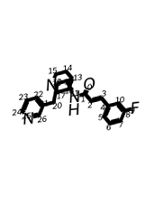 O=C(C=Cc1cccc(F)c1)NC1C2CCN(CC2)C1Cc1cccnc1